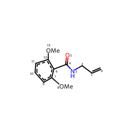 C=CCNC(=O)c1c(OC)cccc1OC